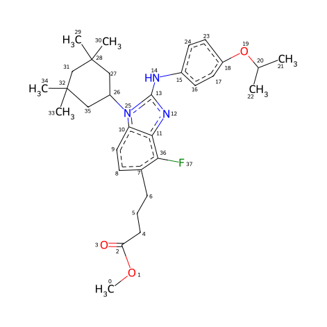 COC(=O)CCCc1ccc2c(nc(Nc3ccc(OC(C)C)cc3)n2C2CC(C)(C)CC(C)(C)C2)c1F